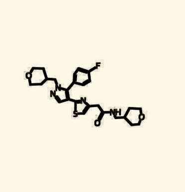 O=C(Cc1csc(-c2cnn(CC3CCOCC3)c2-c2ccc(F)cc2)n1)NCC1CCOCC1